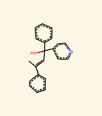 CC(=CC(O)(c1ccccc1)c1ccncc1)c1ccccc1